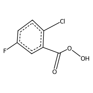 O=C(OO)c1cc(F)ccc1Cl